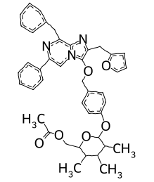 CC(=O)OCC1OC(Oc2ccc(COc3c(Cc4ccco4)nc4c(Cc5ccccc5)nc(-c5ccccc5)cn34)cc2)C(C)C(C)C1C